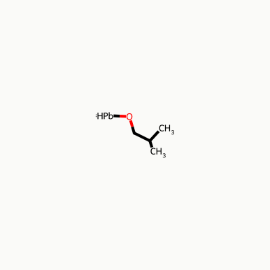 CC(C)C[O][PbH]